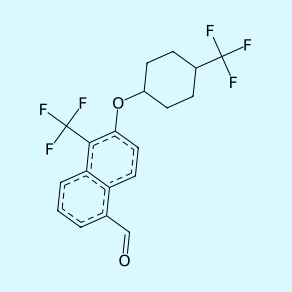 O=Cc1cccc2c(C(F)(F)F)c(OC3CCC(C(F)(F)F)CC3)ccc12